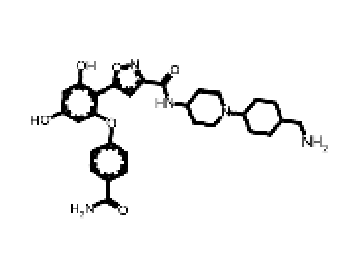 NCC1CCC(N2CCC(NC(=O)c3cc(-c4c(O)cc(O)cc4Oc4ccc(C(N)=O)cc4)on3)CC2)CC1